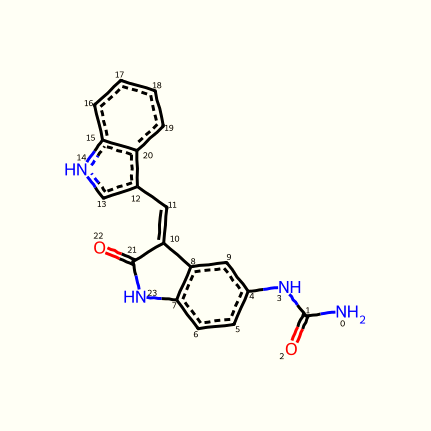 NC(=O)Nc1ccc2c(c1)C(=Cc1c[nH]c3ccccc13)C(=O)N2